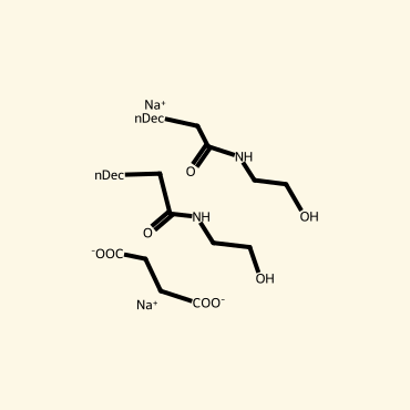 CCCCCCCCCCCC(=O)NCCO.CCCCCCCCCCCC(=O)NCCO.O=C([O-])CCC(=O)[O-].[Na+].[Na+]